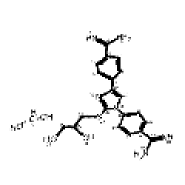 Cl.Cl.Cl.N=C(N)c1ccc(-c2cn(-c3ccc(C(=N)N)cc3)c(SCC(O)CO)n2)cc1